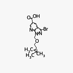 C[Si](C)(C)CCOCn1nc(Br)c2cc(C(=O)O)cnc21